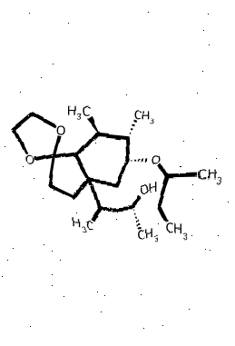 CCC(C)O[C@@H]1CC2(C(C)[C@@H](C)O)CCC3(OCCO3)C2[C@@H](C)[C@@H]1C